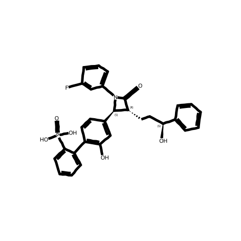 O=C1[C@H](CC[C@H](O)c2ccccc2)[C@@H](c2ccc(-c3ccccc3P(=O)(O)O)c(O)c2)N1c1cccc(F)c1